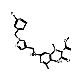 C=C(OC)[C@H]1C(=O)Nc2c(cc(NCc3cnn(Cc4cccc(F)c4)c3)nc2C)N1C